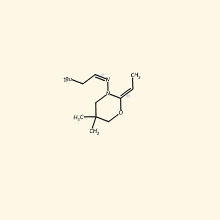 C/C=C1/OCC(C)(C)CN1/N=C\CC(C)(C)C